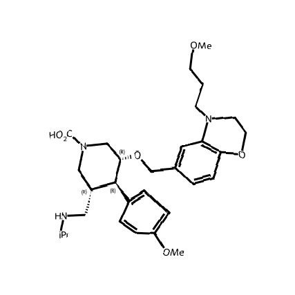 COCCCN1CCOc2ccc(CO[C@H]3CN(C(=O)O)C[C@@H](CNC(C)C)[C@@H]3c3ccc(OC)cc3)cc21